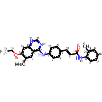 COc1cc2c(Nc3ccc(C=CC(=O)Nc4ccccc4C)cc3)ncnc2cc1OCC(F)(F)F